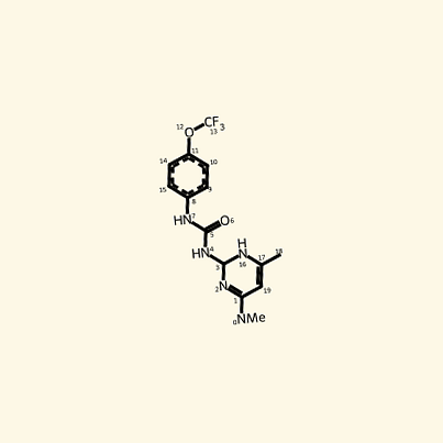 CNC1=NC(NC(=O)Nc2ccc(OC(F)(F)F)cc2)NC(C)=C1